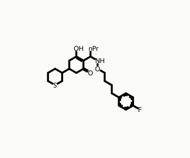 CCCC(NOCCCCc1ccc(F)cc1)C1=C(O)CC(C2CCCSC2)CC1=O